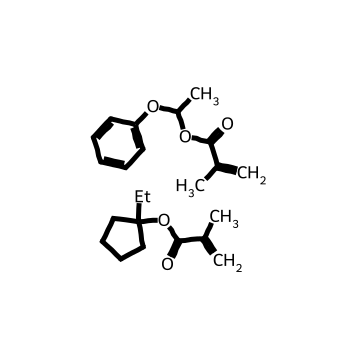 C=C(C)C(=O)OC(C)Oc1ccccc1.C=C(C)C(=O)OC1(CC)CCCC1